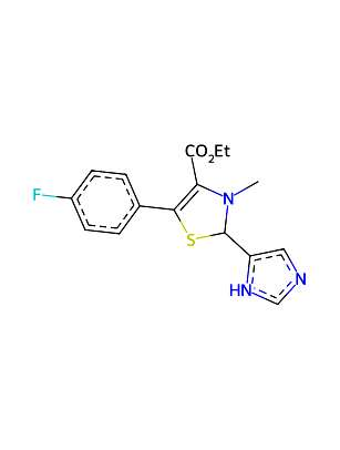 CCOC(=O)C1=C(c2ccc(F)cc2)SC(c2cnc[nH]2)N1C